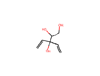 C=CC(O)(C=C)C(O)CO